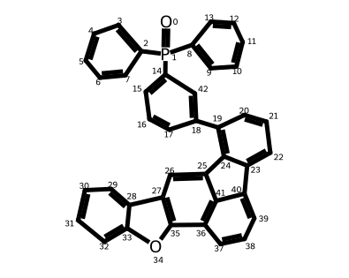 O=P(c1ccccc1)(c1ccccc1)c1cccc(-c2cccc3c2-c2cc4c5ccccc5oc4c4cccc-3c24)c1